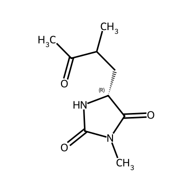 CC(=O)C(C)C[C@H]1NC(=O)N(C)C1=O